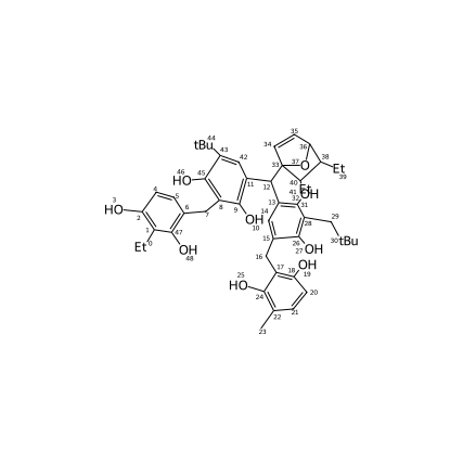 CCc1c(O)ccc(Cc2c(O)c(C(c3cc(Cc4c(O)ccc(C)c4O)c(O)c(CC(C)(C)C)c3O)C34C=CC(O3)C(CC)C4CC)cc(C(C)(C)C)c2O)c1O